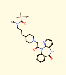 CCCC(C)(C)C(=O)N(CC)CCCC1CCN(CC(=O)N2c3ccccc3C(=O)Nc3cccnc32)CC1